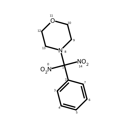 O=[N+]([O-])C(c1ccccc1)(N1CCOCC1)[N+](=O)[O-]